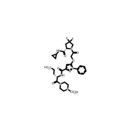 CCOC(=O)N1CCN(C(=O)[C@H](CCC(=O)O)NC(=O)c2cc(OCC(=O)N3CC(F)(F)C[C@H]3C(=O)NC3CC3)n(-c3ccccc3)n2)CC1